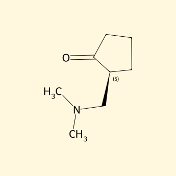 CN(C)C[C@@H]1CCCC1=O